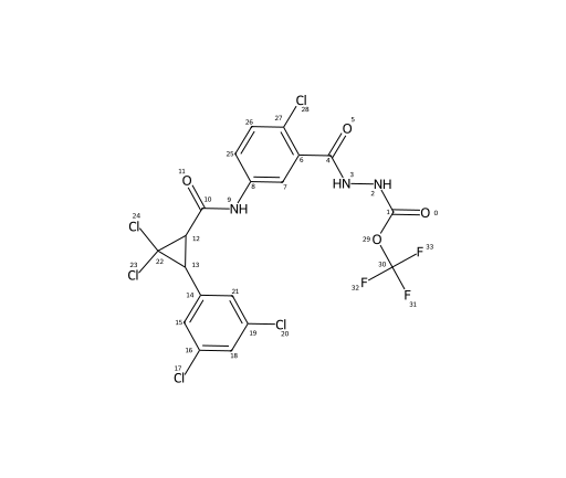 O=C(NNC(=O)c1cc(NC(=O)C2C(c3cc(Cl)cc(Cl)c3)C2(Cl)Cl)ccc1Cl)OC(F)(F)F